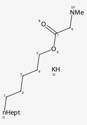 CCCCCCCCCCCCOC(=O)CNC.[KH]